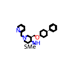 CSN[C@H]1CCN(Cc2ccccn2)C[C@H]1CO[C@H]1CC[C@@H](c2ccccc2)CC1